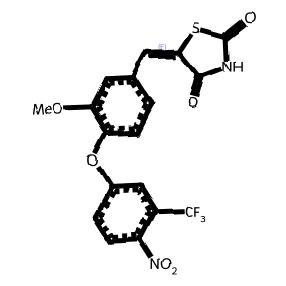 COc1cc(/C=C2/SC(=O)NC2=O)ccc1Oc1ccc([N+](=O)[O-])c(C(F)(F)F)c1